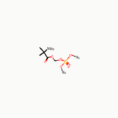 CNC(C)(C)C(=O)OCOP(=O)(OC(C)(C)C)OC(C)(C)C